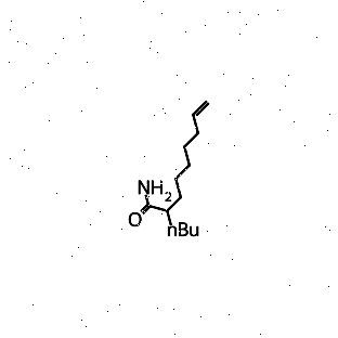 C=CCCCCCC(CCCC)C(N)=O